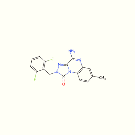 Cc1ccc2c(c1)nc(N)c1nn(Cc3c(F)cccc3F)c(=O)n12